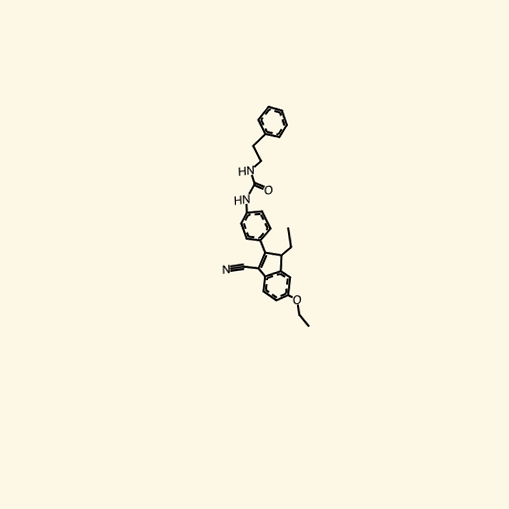 CCOc1ccc2c(c1)C(CC)C(c1ccc(NC(=O)NCCc3ccccc3)cc1)=C2C#N